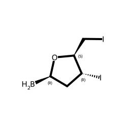 B[C@@H]1C[C@@H](I)[C@H](CI)O1